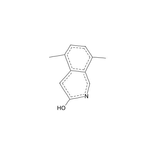 Cc1ccc(C)c2cc(O)ncc12